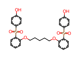 O=S(=O)(c1ccc(O)cc1)c1ccccc1OCCCCCOc1ccccc1S(=O)(=O)c1ccc(O)cc1